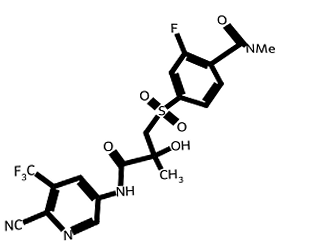 CNC(=O)c1ccc(S(=O)(=O)CC(C)(O)C(=O)Nc2cnc(C#N)c(C(F)(F)F)c2)cc1F